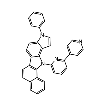 c1ccc(-n2ccc3c2ccc2c4ccc5ccccc5c4n(-c4cccc(-c5ccncc5)n4)c23)cc1